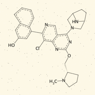 CN1CCC[C@H]1COc1nc(N2CC3CCC(C2)N3)c2cnc(-c3cc(O)cc4ccccc34)c(Cl)c2n1